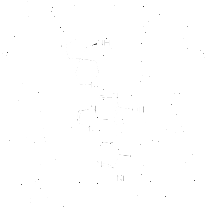 CC1OCC2(CCN(c3nc(O)c(Sc4ccnc(N)c4Cl)c4nccn34)CC2)[C@@H]1N